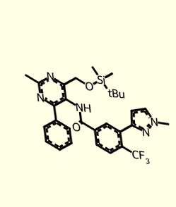 Cc1nc(CO[Si](C)(C)C(C)(C)C)c(NC(=O)c2ccc(C(F)(F)F)c(-c3ccn(C)n3)c2)c(-c2ccccc2)n1